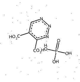 O=C(O)c1cnnnc1C(=O)O.O=P(O)(O)O